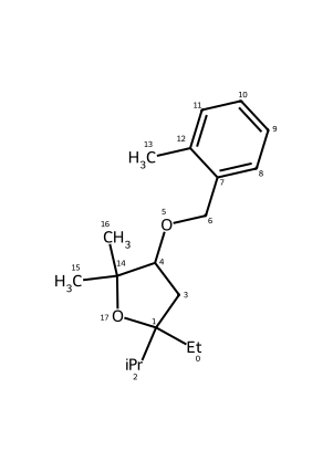 CCC1(C(C)C)CC(OCc2ccccc2C)C(C)(C)O1